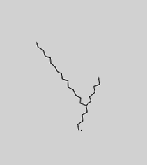 [CH2]CCCCC(CCCCCC)CCCCCCCCCCCCCCCC